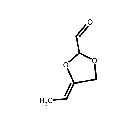 CC=C1COC(C=O)O1